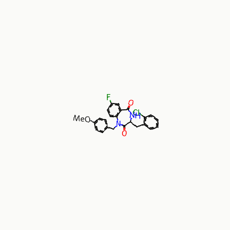 COc1ccc(CN2C(=O)C(Cc3ccccc3Cl)NC(=O)c3cc(F)ccc32)cc1